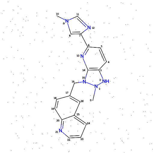 CN1Nc2ccc(-c3cn(C)cn3)nc2N1Cc1ccc2ncccc2c1